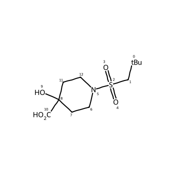 CC(C)(C)CS(=O)(=O)N1CCC(O)(C(=O)O)CC1